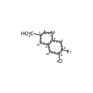 O=C(O)c1cnc2cc(F)c(Cl)cc2c1